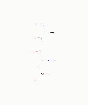 CN[C@@H](C)C(=O)CC(=O)[C@@H](N)CC(=O)O